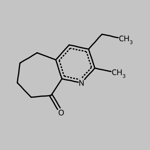 CCc1cc2c(nc1C)C(=O)CCCC2